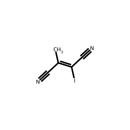 C/C(C#N)=C(/I)C#N